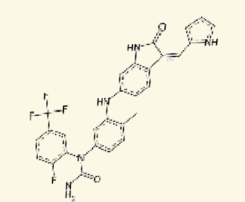 Cc1ccc(N(C(N)=O)c2cc(C(F)(F)F)ccc2F)cc1Nc1ccc2c(c1)NC(=O)/C2=C\c1ccc[nH]1